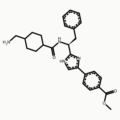 COC(=O)c1ccc(-c2c[nH]c([C@H](Cc3ccccc3)NC(=O)C3CCC(CN)CC3)n2)cc1